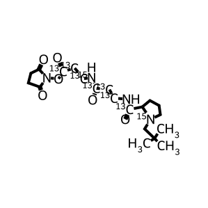 CC(C)(C)C[15N]1CCCC1[13C](=O)N[13CH2][13CH2][13C](=O)[15NH][13CH2][13CH2][13C](=O)ON1C(=O)CCC1=O